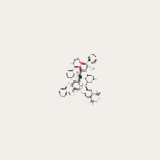 Cc1cc2c3c(c1)N(c1cc4c(cc1C)C(C)(C)CCC4(C)C)c1cc4c(cc1B3N(c1ccccc1-c1ccccc1)c1ccc3c(sc5ccccc53)c1-2)Oc1ccccc1O4